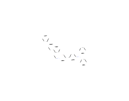 C1=CN2C=Cc3c(ccc4cc(-c5ccccc5)ccc34)B2C=C1c1ccc(N(c2ccccc2)c2ccccc2)cc1